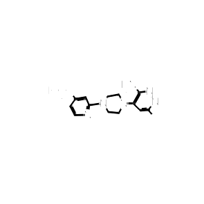 Nc1nnc(Cl)cc1N1CCN(c2cc(C(=O)O)ccn2)CC1